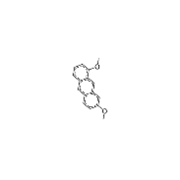 COc1ccc2cc3cccc(OC)c3cc2c1